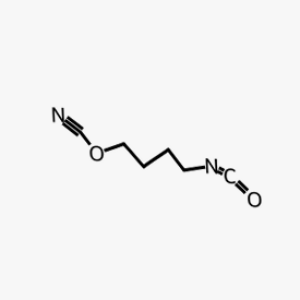 N#COCCCCN=C=O